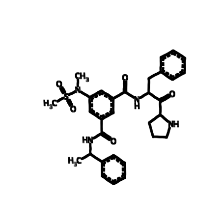 CC(NC(=O)c1cc(C(=O)NC(Cc2ccccc2)C(=O)C2CCCN2)cc(N(C)S(C)(=O)=O)c1)c1ccccc1